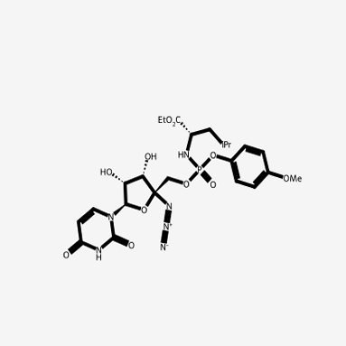 CCOC(=O)[C@H](CC(C)C)NP(=O)(OC[C@@]1(N=[N+]=[N-])O[C@@H](n2ccc(=O)[nH]c2=O)[C@H](O)[C@@H]1O)Oc1ccc(OC)cc1